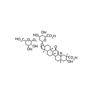 C=C[C@]1(C)[C@@H](O[C@@H]2O[C@H](C(=O)O)[C@@H](O)[C@H](O)[C@H]2CO[C@@H]2O[C@H](C(=O)O)[C@@H](C)[C@H](O)[C@H]2O)CC[C@@]2(C)[C@@]1(C)CC[C@]1(C)[C@]2(C)C(=O)C=C2[C@@H]3C[C@@](C)(C(=O)O)[C@@H](O)C[C@]3(C)CC[C@]21C